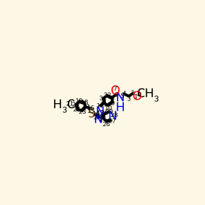 COCCCNC(=O)c1ccc(Cn2c(SCc3ccc(C)cc3)nc3ccncc32)cc1